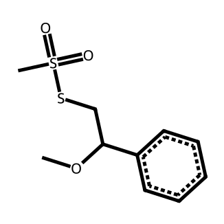 COC(CSS(C)(=O)=O)c1ccccc1